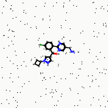 NCc1cnc(-c2ccc(F)cc2C(=O)c2cnn(C3CCC3)c2)nc1